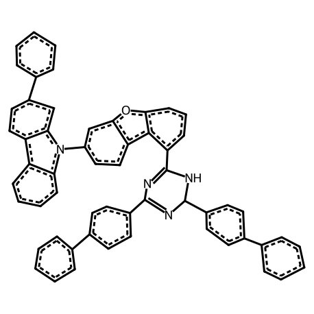 c1ccc(-c2ccc(C3=NC(c4ccc(-c5ccccc5)cc4)NC(c4cccc5oc6cc(-n7c8ccccc8c8ccc(-c9ccccc9)cc87)ccc6c45)=N3)cc2)cc1